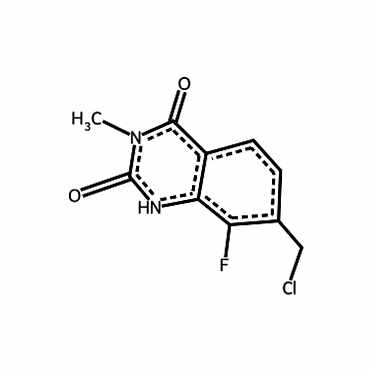 Cn1c(=O)[nH]c2c(F)c(CCl)ccc2c1=O